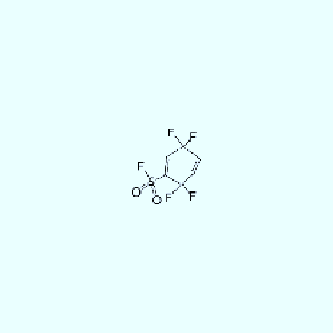 O=S(=O)(F)C1=CC(F)(F)C=CC1(F)F